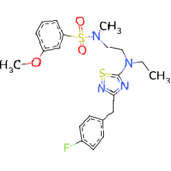 CCN(CCN(C)S(=O)(=O)c1cccc(OC)c1)c1nc(Cc2ccc(F)cc2)ns1